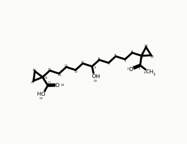 CC(=O)C1(CCCCCC(O)CCCCCC2(C(=O)O)CC2)CC1